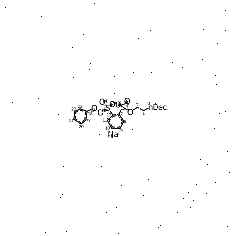 CCCCCCCCCCCCOS(=O)(=O)c1ccccc1S(=O)(=O)OOc1ccccc1.[Na]